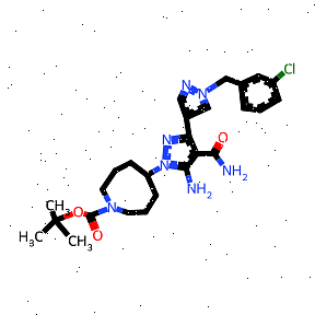 CC(C)(C)OC(=O)N1CCCC(n2nc(-c3cnn(Cc4cccc(Cl)c4)c3)c(C(N)=O)c2N)CCC1